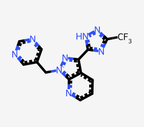 FC(F)(F)c1n[nH]c(-c2nn(Cc3cncnc3)c3ncccc23)n1